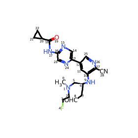 CN(CCF)C[C@H](CC=O)Nc1cc(-c2cnc(NC(=O)C3CC3)cn2)cnc1C#N